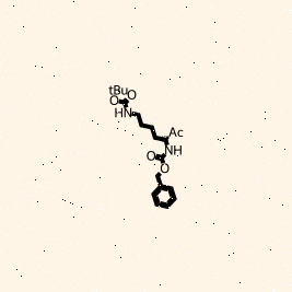 CC(=O)[C@H](CCCCNC(=O)OC(C)(C)C)NC(=O)OCc1ccccc1